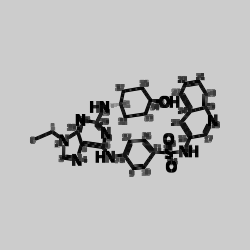 CCn1cnc2c(Nc3ccc(S(=O)(=O)Nc4cnc5ccccc5c4)cc3)nc(N[C@H]3CC[C@H](O)CC3)nc21